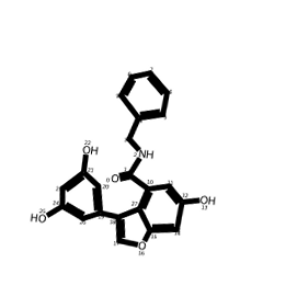 O=C(NCc1ccccc1)c1cc(O)cc2occ(-c3cc(O)cc(O)c3)c12